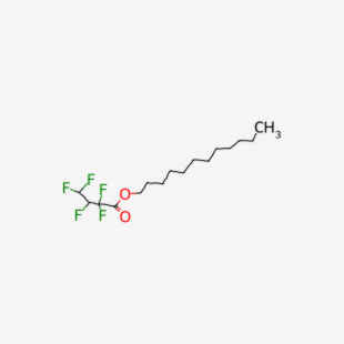 CCCCCCCCCCCCOC(=O)C(F)(F)C(F)C(F)F